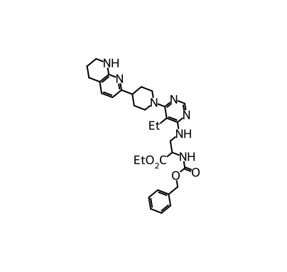 CCOC(=O)C(CNc1ncnc(N2CCC(c3ccc4c(n3)NCCC4)CC2)c1CC)NC(=O)OCc1ccccc1